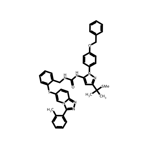 CSC(C)(C)c1cc(NC(=O)NCc2ccccc2Sc2ccc3nnc(-c4ccccc4C)n3c2)n(-c2ccc(OCc3ccccc3)cc2)n1